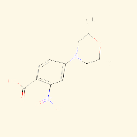 C[C@@H]1CN(c2ccc(C(=O)O)c([N+](=O)[O-])c2)C[C@H](C)O1